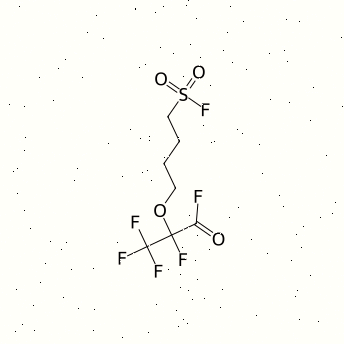 O=C(F)C(F)(OCCCCS(=O)(=O)F)C(F)(F)F